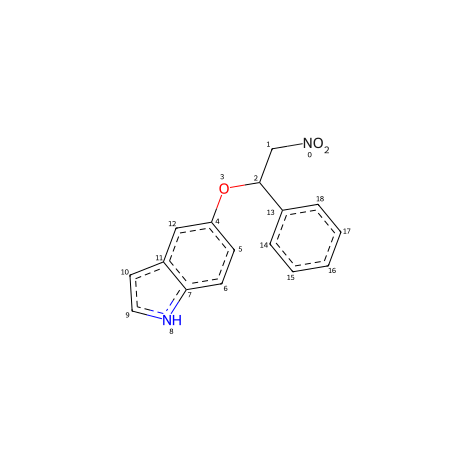 O=[N+]([O-])CC(Oc1ccc2[nH]ccc2c1)c1ccccc1